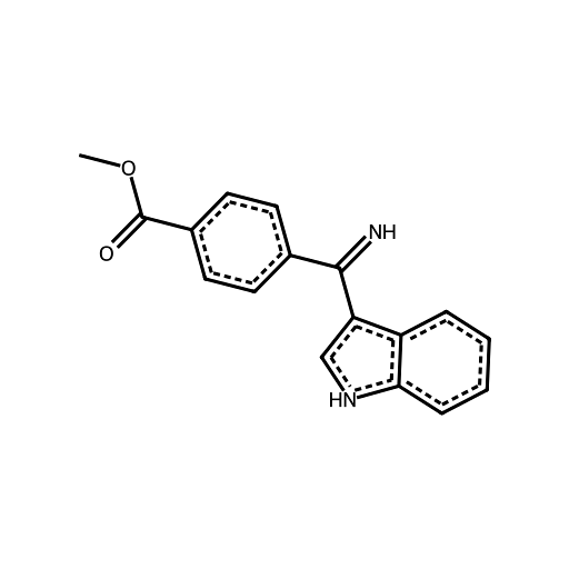 COC(=O)c1ccc(C(=N)c2c[nH]c3ccccc23)cc1